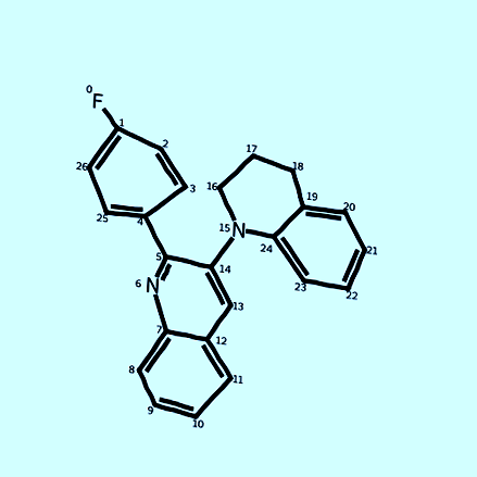 Fc1ccc(-c2nc3ccccc3cc2N2CCCc3ccccc32)cc1